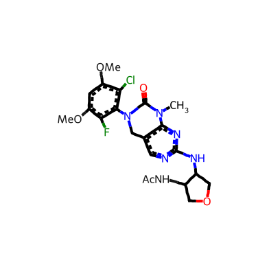 COc1cc(OC)c(Cl)c(N2Cc3cnc(NC4COCC4NC(C)=O)nc3N(C)C2=O)c1F